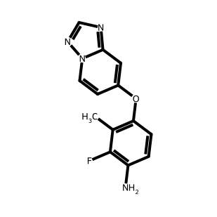 Cc1c(Oc2ccn3ncnc3c2)ccc(N)c1F